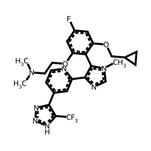 CN(C)CCOc1cc(F)cc(OCC2CC2)c1-c1c(-c2cc(-c3nn[nH]c3C(F)(F)F)ccn2)ncn1C